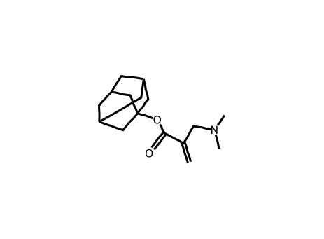 C=C(CN(C)C)C(=O)OC12CC3CC(CC(C3)C1)C2